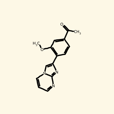 COc1cc(C(C)=O)ccc1-c1cn2cccnc2n1